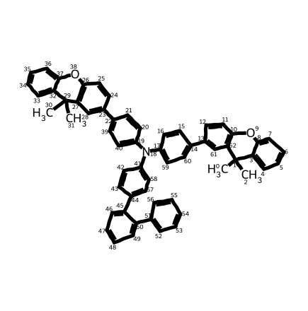 CC1(C)c2ccccc2Oc2ccc(-c3ccc(N(c4ccc(-c5ccc6c(c5)C(C)(C)c5ccccc5O6)cc4)c4ccc(-c5ccccc5-c5ccccc5)cc4)cc3)cc21